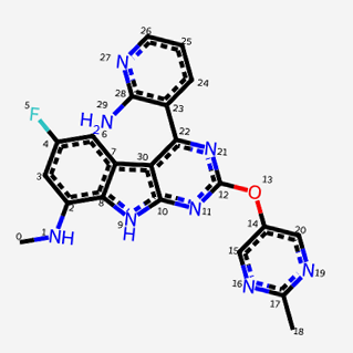 CNc1cc(F)cc2c1[nH]c1nc(Oc3cnc(C)nc3)nc(-c3cccnc3N)c12